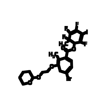 CC1=C(OCCOC2CCCCO2)CC(Br)=CC=C1C(=O)OC1C(F)=C(I)C(F)=C(F)C1(C)F